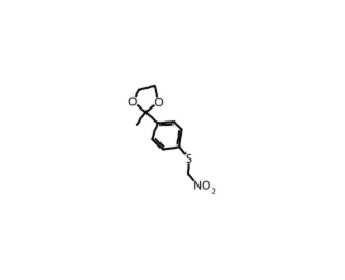 CC1(c2ccc(SC[N+](=O)[O-])cc2)OCCO1